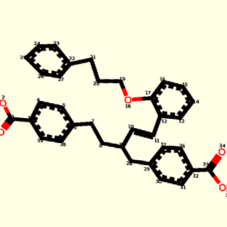 O=C(O)c1ccc(CCC(C=Cc2ccccc2OCCCc2ccccc2)Cc2ccc(C(=O)O)cc2)cc1